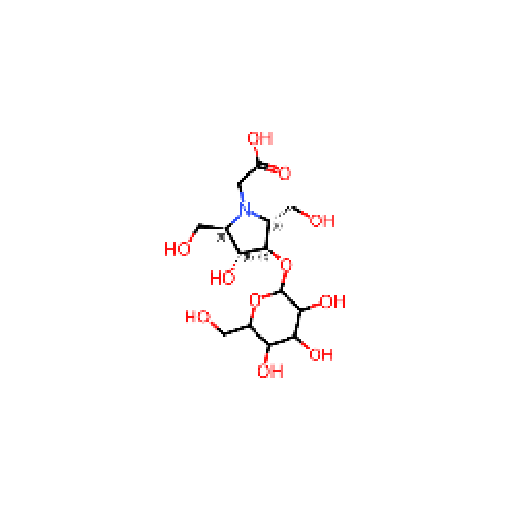 O=C(O)CN1[C@H](CO)[C@@H](O)[C@H](OC2OC(CO)C(O)C(O)C2O)[C@H]1CO